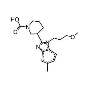 COCCCn1c(C2CCCN(C(=O)O)C2)nc2cc(C)ccc21